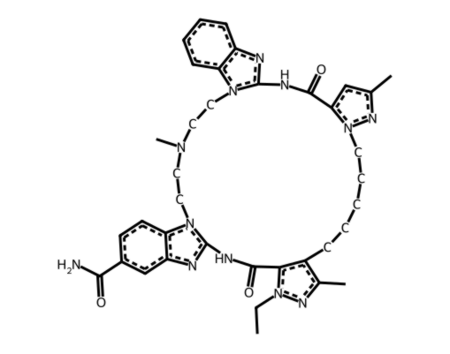 CCn1nc(C)c2c1C(=O)Nc1nc3cc(C(N)=O)ccc3n1CCN(C)CCn1c(nc3ccccc31)NC(=O)c1cc(C)nn1CCCCC2